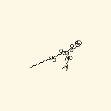 CCCCCCCCCCCCOC(=O)CCCCC(=O)OCC(COC(=O)CC1CC2CC3CCC1C(C3)C2)COC(=O)OCCCN(CC)CC